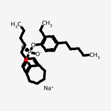 CCCCCc1ccc(OP(=O)([O-])Oc2c3cc(CCCCC)cc2CCCC3)c(CC)c1.[Na+]